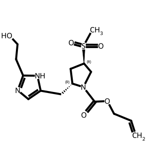 C=CCOC(=O)N1C[C@H](S(C)(=O)=O)C[C@H]1Cc1cnc(CCO)[nH]1